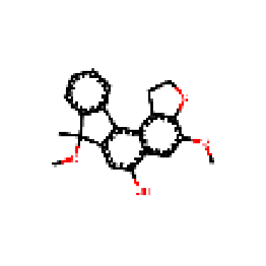 COc1cc2c(O)cc3c(c2c2c1OCC2)-c1ccccc1C3(C)OC